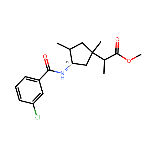 COC(=O)C(C)C1(C)CC(C)[C@@H](NC(=O)c2cccc(Cl)c2)C1